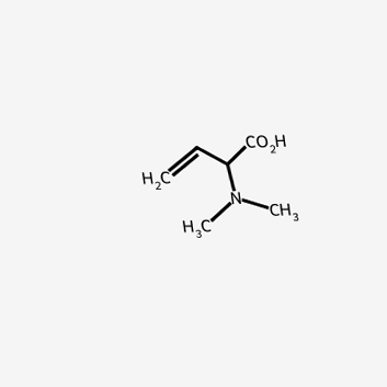 C=CC(C(=O)O)N(C)C